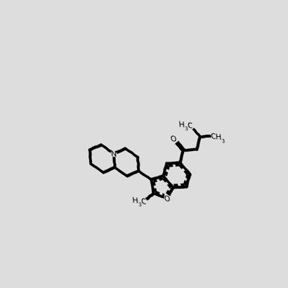 Cc1oc2ccc(C(=O)CC(C)C)cc2c1C1CCN2CCCCC2C1